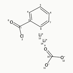 O=C(Cl)c1ccccc1.O=C([O-])[O-].[Li+].[Li+]